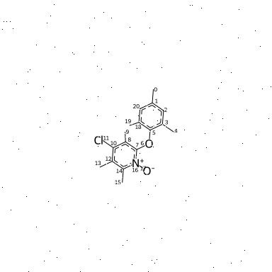 Cc1cc(C)c(Oc2c(C)c(Cl)c(C)c(C)[n+]2[O-])c(C)c1